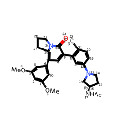 COc1cc(OC)cc(-c2cc(-c3cc(N4CC[C@@H](NC(C)=O)C4)ccc3C(F)(F)F)c(=O)n3c2CCC3)c1